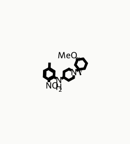 CO[C@@H]1CCC[C@](C)(N2CCC(Nc3cc(C)ccc3[N+](=O)[O-])CC2)C1